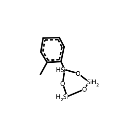 Cc1ccccc1[SiH]1O[SiH2]O[SiH2]O1